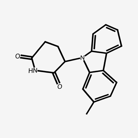 Cc1ccc2c3ccccc3n(C3CCC(=O)NC3=O)c2c1